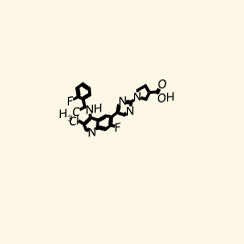 CC(Nc1c(Cl)cnc2cc(F)c(-c3cnc(N4CCC(C(=O)O)C4)nc3)cc12)c1ccccc1F